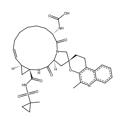 Cc1nc2ccccc2c2c1O[C@]1(CC2)C[C@H]2C(=O)N[C@]3(C(=O)NS(=O)(=O)C4(C)CC4)C[C@H]3/C=C\CCCCC[C@H](NC(=O)O)C(=O)N2C1